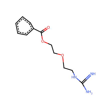 N=C(N)NCCOCCOC(=O)c1ccccc1